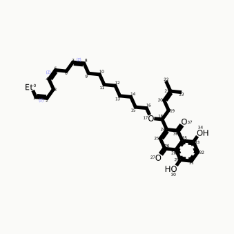 CC/C=C\C/C=C\C/C=C\CCCCCCCCOC(CC=C(C)C)C1=CC(=O)c2c(O)ccc(O)c2C1=O